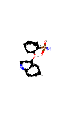 NS(=O)(=O)c1ccccc1Oc1ccnc2ccccc12